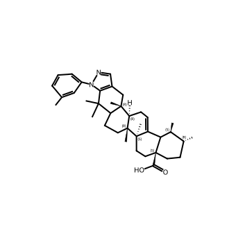 Cc1cccc(-n2ncc3c2C(C)(C)C2CC[C@]4(C)[C@H](CC=C5C6[C@@H](C)[C@H](C)CC[C@]6(C(=O)O)CC[C@]54C)[C@@]2(C)C3)c1